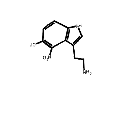 NCCc1c[nH]c2ccc(O)c([N+](=O)[O-])c12